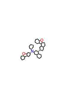 c1ccc(N(c2cc(-c3ccc4ccc5oc6ccccc6c5c4c3)c3ccccc3c2)c2ccc3c(c2)oc2ccccc23)cc1